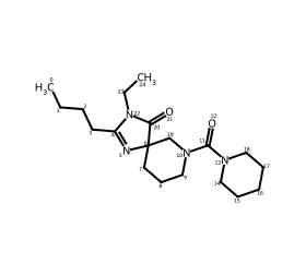 CCCCC1=NC2(CCCN(C(=O)N3CCCCC3)C2)C(=O)N1CC